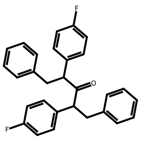 O=C(C(Cc1ccccc1)c1ccc(F)cc1)C(Cc1ccccc1)c1ccc(F)cc1